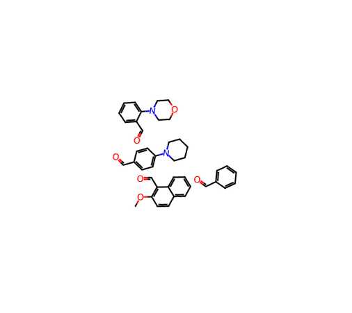 COc1ccc2ccccc2c1C=O.O=Cc1ccc(N2CCCCC2)cc1.O=Cc1ccccc1.O=Cc1ccccc1N1CCOCC1